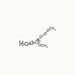 CCOCCOCCOCCOCC(CC(=O)OCC)N1CCN(c2ccc(OC(F)(F)F)cc2)CC1